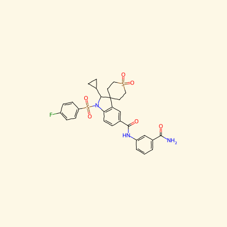 NC(=O)c1cccc(NC(=O)c2ccc3c(c2)C2(CCS(=O)(=O)CC2)C(C2CC2)N3S(=O)(=O)c2ccc(F)cc2)c1